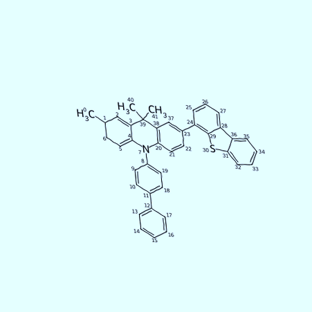 CC1C=C2C(=CC1)N(c1ccc(-c3ccccc3)cc1)c1ccc(-c3cccc4c3sc3ccccc34)cc1C2(C)C